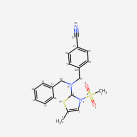 CC1=CN(S(C)(=O)=O)C(N(Cc2ccccc2)Cc2ccc(C#N)cc2)S1